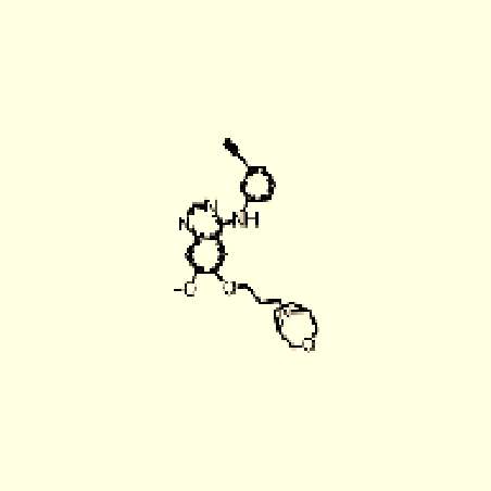 C#Cc1cccc(Nc2ncnc3cc(OC)c(OCCCN4C5CCC4COC5)cc23)c1